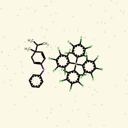 CC(C)C1(C)C=CC([I+]c2ccccc2)=CC1.Fc1c(F)c(F)c([B-](c2c(F)c(F)c(F)c(F)c2F)(c2c(F)c(F)c(F)c(F)c2F)c2c(F)c(F)c(F)c(F)c2F)c(F)c1F